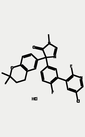 CN1C=NC(c2ccc3c(c2)CCC(C)(C)O3)(c2ccc(F)c(-c3cc(Cl)cnc3F)c2)C1=O.Cl